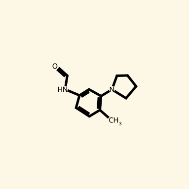 Cc1ccc(NC=O)cc1N1CCCC1